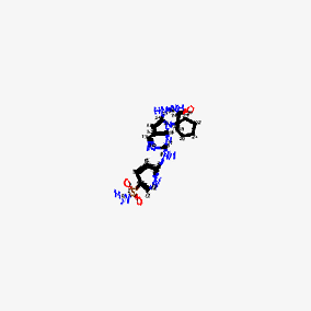 NS(=O)(=O)c1ccc(Nc2ncc3cc4n(c3n2)C2(CCCCC2)C(=O)NN4)nc1